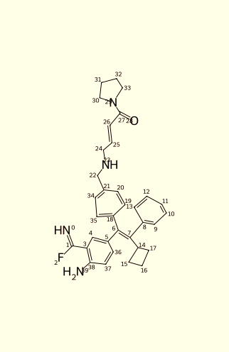 N=C(F)c1cc(/C(=C(/c2ccccc2)C2CCC2)c2ccc(CNC/C=C/C(=O)N3CCCC3)cc2)ccc1N